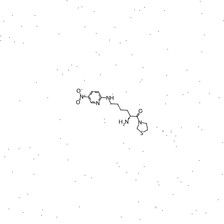 N[C@@H](CCCCNc1ccc([N+](=O)[O-])cn1)C(=O)N1CCSC1